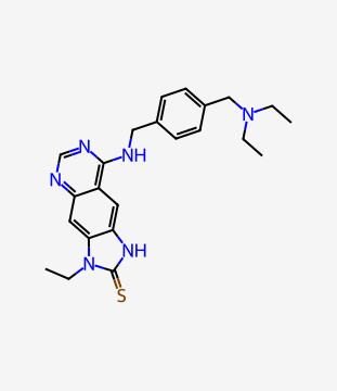 CCN(CC)Cc1ccc(CNc2ncnc3cc4c(cc23)[nH]c(=S)n4CC)cc1